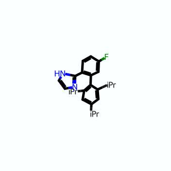 CC(C)c1cc(C(C)C)c(-c2cc(F)ccc2-c2ncc[nH]2)c(C(C)C)c1